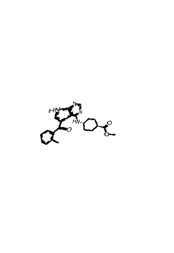 COC(=O)[C@H]1CC[C@H](Nc2ncnc3[nH]cc(C(=O)c4ccccc4C)c23)CC1